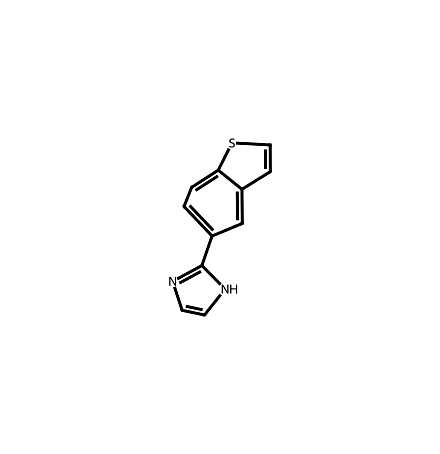 c1c[nH]c(-c2ccc3sccc3c2)n1